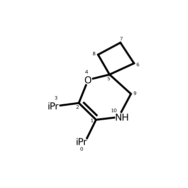 CC(C)C1=C(C(C)C)OC2(CCC2)CN1